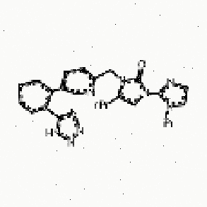 CCCc1cn(-c2nccn2C(C)C)c(=O)n1Cc1ccc(-c2ccccc2-c2nnn[nH]2)cn1